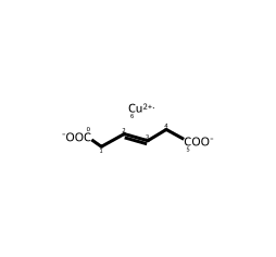 O=C([O-])C/C=C/CC(=O)[O-].[Cu+2]